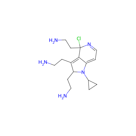 NCCC1=C2C(=CC=NC2(Cl)CCN)N(C2CC2)C1CCN